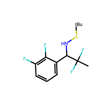 CC(C)(C)SNC(c1cccc(F)c1F)C(C)(F)F